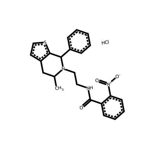 CC1Cc2ccsc2C(c2ccccc2)N1CCNC(=O)c1ccccc1[N+](=O)[O-].Cl